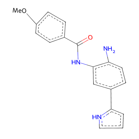 COc1ccc(C(=O)Nc2cc(-c3ccc[nH]3)ccc2N)cc1